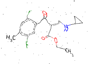 CCOC(=O)C(=CNC1CC1)C(=O)c1cc(F)c(C)cc1F